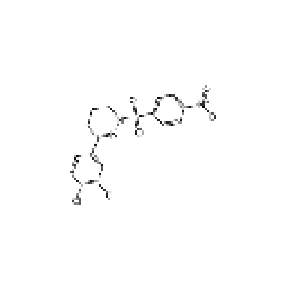 O=[N+]([O-])c1ccc(S(=O)(=O)N2CCCC(c3ccc(Cl)c(Cl)c3)=N2)cc1